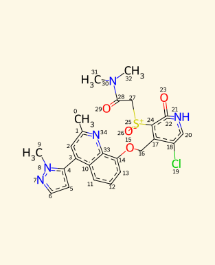 Cc1cc(-c2ccnn2C)c2cccc(OCc3c(Cl)c[nH]c(=O)c3[S+]([O-])CC(=O)N(C)C)c2n1